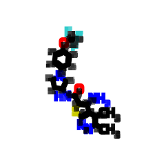 Cc1nnc2sc(C(=O)NC3CCN(c4ccc(OC(F)(F)F)cc4)C3)c(N)c2c1C